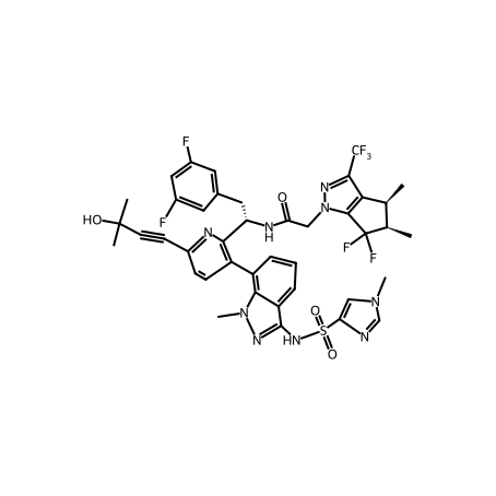 C[C@@H]1c2c(C(F)(F)F)nn(CC(=O)N[C@@H](Cc3cc(F)cc(F)c3)c3nc(C#CC(C)(C)O)ccc3-c3cccc4c(NS(=O)(=O)c5cn(C)cn5)nn(C)c34)c2C(F)(F)[C@@H]1C